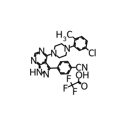 Cc1ccc(Cl)cc1N1CCN(c2ncnc3[nH]nc(-c4ccc(C#N)cc4)c23)CC1.O=C(O)C(F)(F)F